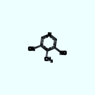 Cc1c(N=O)cncc1N=O